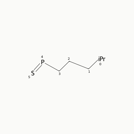 CC(C)CCCP=S